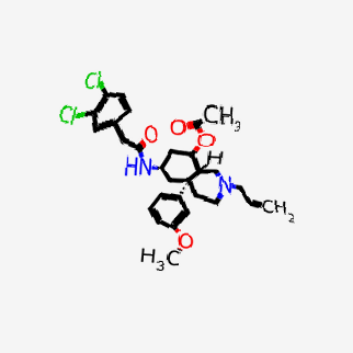 C=CCN1CC[C@@]2(c3cccc(OC)c3)C[C@@H](NC(=O)Cc3ccc(Cl)c(Cl)c3)CC(OC(C)=O)[C@@H]2C1